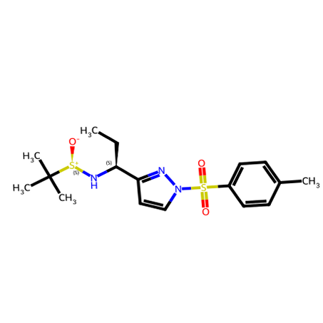 CC[C@H](N[S@+]([O-])C(C)(C)C)c1ccn(S(=O)(=O)c2ccc(C)cc2)n1